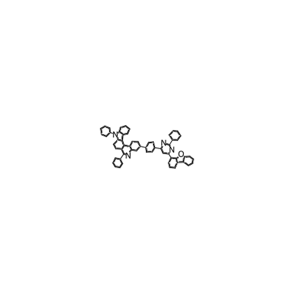 c1ccc(-c2nc(-c3ccc(-c4ccc5c(c4)nc(-c4ccccc4)c4ccc6c(c7ccccc7n6-c6ccccc6)c45)cc3)cc(-c3cccc4c3oc3ccccc34)n2)cc1